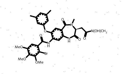 COc1cc(C(=O)Nc2cc3c(cc2Oc2cc(C)cc(C)c2)C(=O)N(C)[C@@H](CC(=O)N(C)O)C(=O)N3)c(Br)c(OC)c1OC